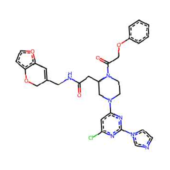 O=C(CC1CN(c2cc(Cl)nc(-n3ccnc3)n2)CCN1C(=O)COc1ccccc1)NCC1=Cc2occc2OC1